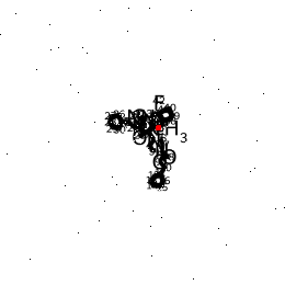 Cc1c(N2CCN(C(=O)OCc3ccccc3)CC2)c(=O)n(C[C@@H](N)c2ccccc2)c(=O)n1Cc1c(F)cccc1F